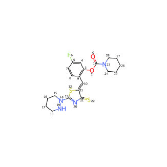 O=C(Oc1cc(F)ccc1/C=C1\SC(N2CCCCN2)=NC1=S)N1CCCCC1